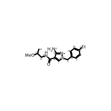 CCc1ccc(Cn2cc(C(=O)NCC(C)OC)c(N)n2)cc1